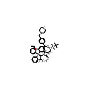 C=CCc1ccccc1P(=C(C(=O)O)N1C(=O)[C@H]([C@@H](C)O[Si](C)(C)C(C)(C)C)[C@H]1CC(=O)c1ccc(CN2CCOCC2)cc1)(c1ccccc1)c1ccccc1